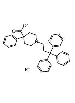 O=C([O-])C1(c2ccccc2)CCN(CCC(c2ccccc2)(c2ccccc2)c2ccccn2)CC1.[K+]